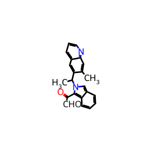 Cc1cc2ncccc2cc1C(C)n1cc2ccccc2c1C(=O)C=O